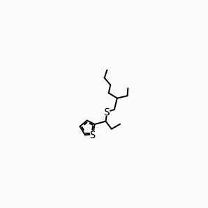 CCCCC(CC)CSC(CC)c1cccs1